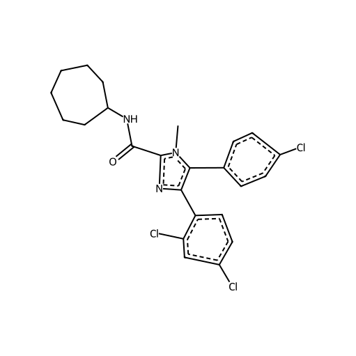 Cn1c(C(=O)NC2CCCCCC2)nc(-c2ccc(Cl)cc2Cl)c1-c1ccc(Cl)cc1